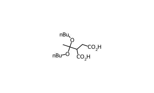 CCCCOC(C)(OCCCC)C(CC(=O)O)C(=O)O